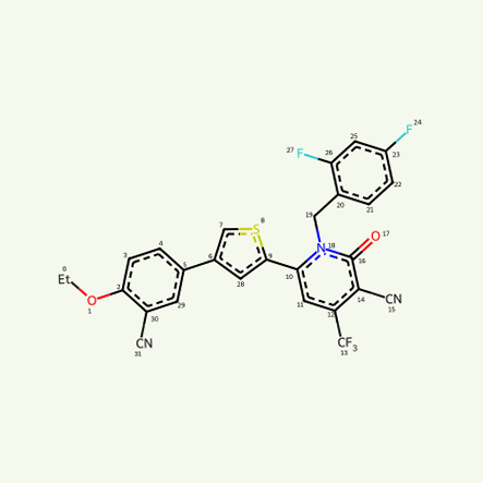 CCOc1ccc(-c2csc(-c3cc(C(F)(F)F)c(C#N)c(=O)n3Cc3ccc(F)cc3F)c2)cc1C#N